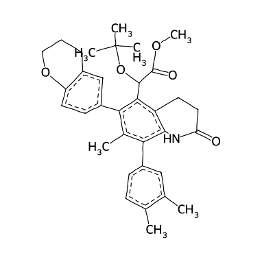 COC(=O)C(OC(C)(C)C)c1c2c(c(-c3ccc(C)c(C)c3)c(C)c1-c1ccc3c(c1)CCCO3)NC(=O)CC2